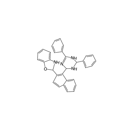 c1ccc(C2=NC(c3c(C4Nc5ccccc5O4)ccc4ccccc34)NC(c3ccccc3)N2)cc1